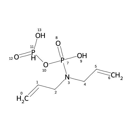 C=CCN(CC=C)P(=O)(O)O[PH](=O)O